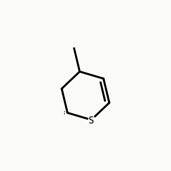 CC1C=CS[C]C1